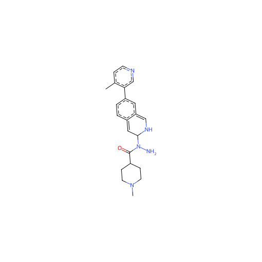 Cc1ccncc1-c1ccc2c(c1)=CNC(N(N)C(=O)C1CCN(C)CC1)C=2